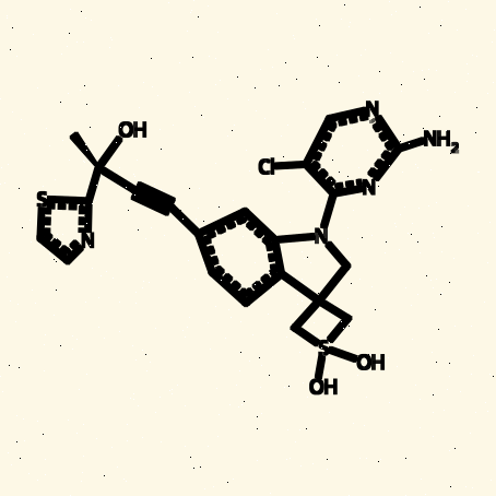 C[C@@](O)(C#Cc1ccc2c(c1)N(c1nc(N)ncc1Cl)CC21CS(O)(O)C1)c1nccs1